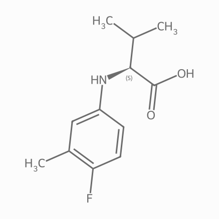 Cc1cc(N[C@H](C(=O)O)C(C)C)ccc1F